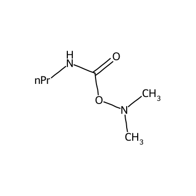 CCCNC(=O)ON(C)C